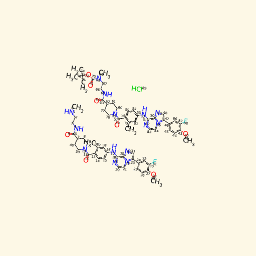 CNCCNC(=O)C1CCN(C(=O)c2ccc(Nc3nccn4c(-c5ccc(OC)c(F)c5)cnc34)cc2C)CC1.COc1ccc(-c2cnc3c(Nc4ccc(C(=O)N5CCC(C(=O)NCCN(C)C(=O)OC(C)(C)C)CC5)c(C)c4)nccn23)cc1F.Cl